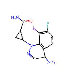 NC(=O)C1CC1N1N=CC(N)c2ccc(F)c(I)c21